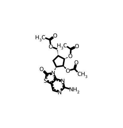 CC(=O)OC[C@H]1C[C@@H](n2c(=O)sc3cnc(N)nc32)[C@H](OC(C)=O)[C@H]1OC(C)=O